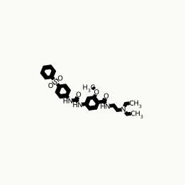 CCN(CC)CCNC(=O)c1ccc(NC(=O)Nc2ccc(S(=O)(=O)c3ccccc3)cc2)cc1OC